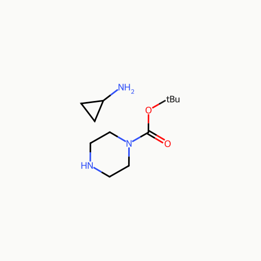 CC(C)(C)OC(=O)N1CCNCC1.NC1CC1